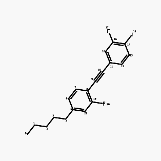 CCCCCc1ccc(C#Cc2ccc(I)c(F)c2)c(F)c1